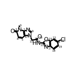 Cn1c(=O)ccc2c1ncn2CC(=O)Nc1nc2ccc(Cl)cc2o1